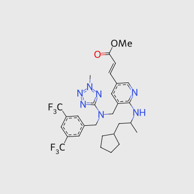 COC(=O)C=Cc1cnc(NC(C)CC2CCCC2)c(CN(Cc2cc(C(F)(F)F)cc(C(F)(F)F)c2)c2nnn(C)n2)c1